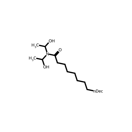 CCCCCCCCCCCCCCCCCC(=O)N(C(C)O)C(C)O